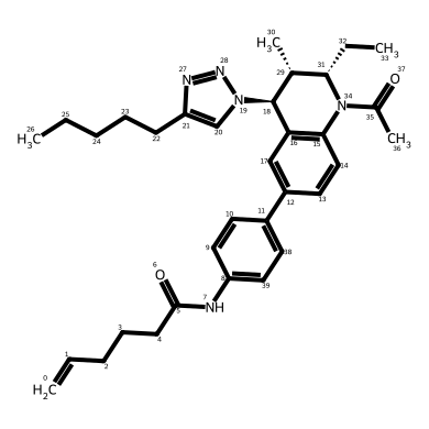 C=CCCCC(=O)Nc1ccc(-c2ccc3c(c2)[C@@H](n2cc(CCCCC)nn2)[C@H](C)[C@H](CC)N3C(C)=O)cc1